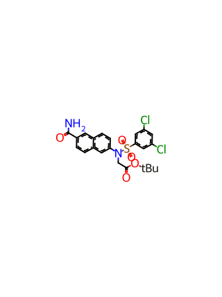 CC(C)(C)OC(=O)CN(c1ccc2cc(C(N)=O)ccc2c1)S(=O)(=O)c1cc(Cl)cc(Cl)c1